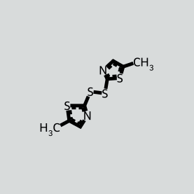 Cc1cnc(SSc2ncc(C)s2)s1